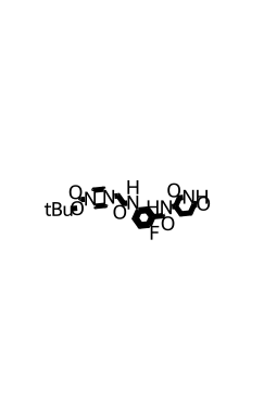 CC(C)(C)OC(=O)N1CCN(CC(=O)Nc2ccc(F)c(C(=O)NC3CCC(=O)NC3=O)c2)CC1